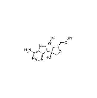 CC(C)OC[C@H]1OC[C@](O)(n2cnc3c(N)ncnc32)[C@@H]1OC(C)C